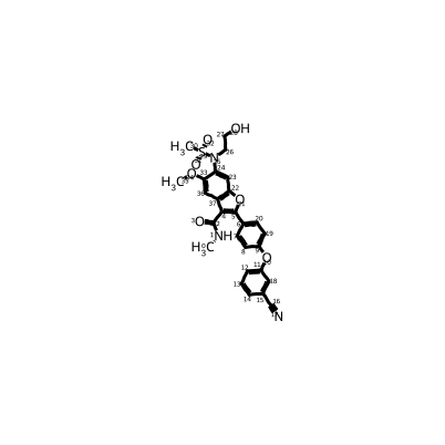 CNC(=O)c1c(-c2ccc(Oc3cccc(C#N)c3)cc2)oc2cc(N(CCO)S(C)(=O)=O)c(OC)cc12